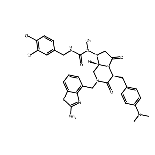 CCCN(C(=O)NCc1ccc(Cl)c(Cl)c1)N1CC(=O)N2[C@@H](Cc3ccc(N(C)C)cc3)C(=O)N(Cc3cccc4sc(N)nc34)C[C@@H]21